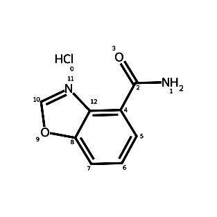 Cl.NC(=O)c1cccc2ocnc12